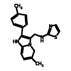 CC1=CC=C2NC(c3ccc(C)cc3)=C(CNc3nccs3)N2C1